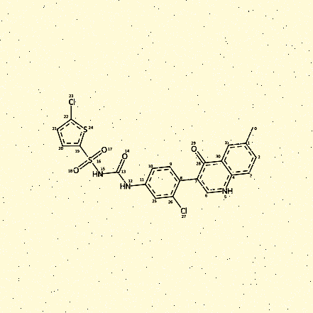 Cc1ccc2[nH]cc(-c3ccc(NC(=O)NS(=O)(=O)c4ccc(Cl)s4)cc3Cl)c(=O)c2c1